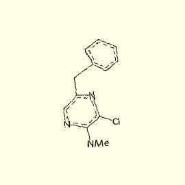 CNc1ncc(Cc2ccccc2)nc1Cl